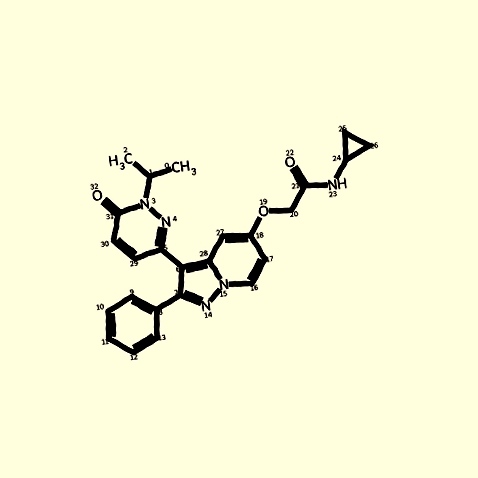 CC(C)n1nc(-c2c(-c3ccccc3)nn3ccc(OCC(=O)NC4CC4)cc23)ccc1=O